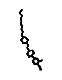 CCCCCCCCCCC1CCC(CCC2COC(c3ccc(C#N)c(F)c3)OC2)CC1